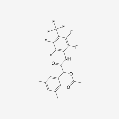 CC(=O)OC(C(=O)Nc1c(F)c(F)c(C(F)(F)F)c(F)c1F)c1cc(C)cc(C)c1